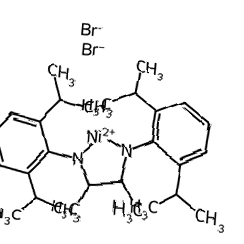 CC(C)c1cccc(C(C)C)c1[N]1[Ni+2][N](c2c(C(C)C)cccc2C(C)C)C(C)C1C.[Br-].[Br-]